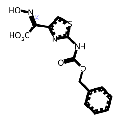 O=C(Nc1nc(/C(=N/O)C(=O)O)cs1)OCc1ccccc1